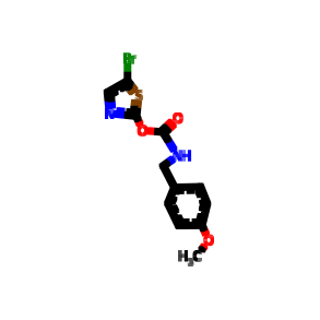 COc1ccc(CNC(=O)Oc2ncc(Br)s2)cc1